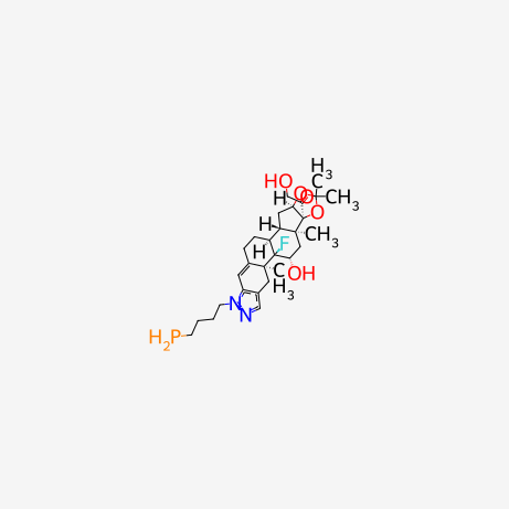 CC1(C)O[C@@H]2C[C@H]3[C@@H]4CCC5=Cc6c(cnn6CCCCP)C[C@]5(C)[C@@]4(F)[C@@H](O)C[C@]3(C)[C@]2(C(=O)CO)O1